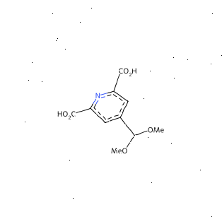 COC(OC)c1cc(C(=O)O)nc(C(=O)O)c1